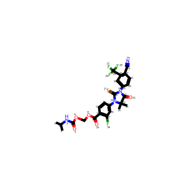 CC(C)NC(=O)OCOC(=O)c1ccc(N2C(=S)N(c3ccc(C#N)c(C(F)(F)F)c3)C(=O)C2(C)C)cc1F